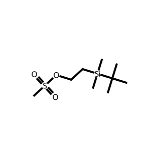 CC(C)(C)[Si](C)(C)CCOS(C)(=O)=O